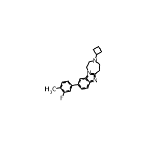 Cc1ccc(-c2ccc3nc4n(c3c2)CCN(C2CCC2)CC4)cc1F